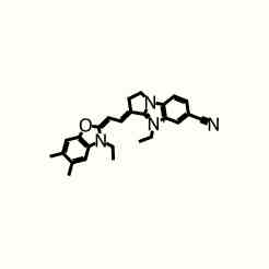 CCN1C(=CC=C2CCn3c2[n+](CC)c2cc(C#N)ccc23)Oc2cc(C)c(C)cc21